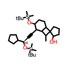 CC1C2C(C#C[C@@H](O[Si](C)(C)C(C)(C)C)C3CCCC3)C(O[Si](C)(C)C(C)(C)C)CCC2C12CCCC2O